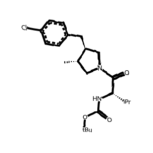 CC(C)[C@H](NC(=O)OC(C)(C)C)C(=O)N1C[C@H](Cc2ccc(Cl)cc2)[C@@H](C)C1